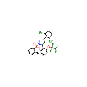 O=[N+]([O-])c1ccccc1S(=O)(=O)NC(CCc1c(Br)cccc1Br)c1ccccc1OC(F)(F)C(F)F